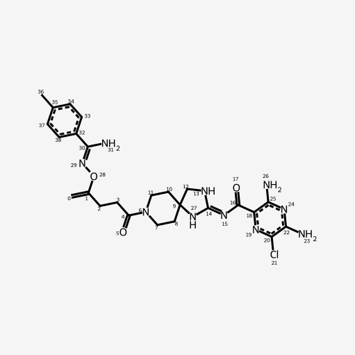 C=C(CCC(=O)N1CCC2(CC1)CN/C(=N\C(=O)c1nc(Cl)c(N)nc1N)N2)O/N=C(\N)c1ccc(C)cc1